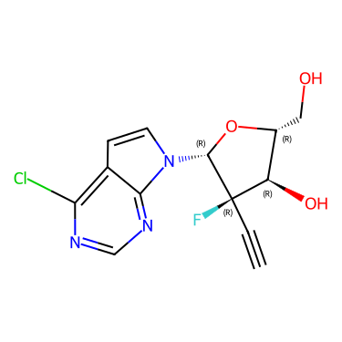 C#C[C@@]1(F)[C@H](O)[C@@H](CO)O[C@H]1n1ccc2c(Cl)ncnc21